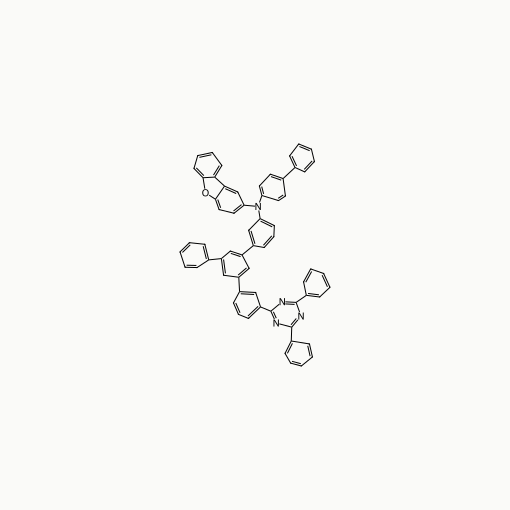 c1ccc(-c2ccc(N(c3cccc(-c4cc(-c5ccccc5)cc(-c5cccc(-c6nc(-c7ccccc7)nc(-c7ccccc7)n6)c5)c4)c3)c3ccc4oc5ccccc5c4c3)cc2)cc1